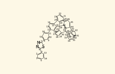 c1ccc(-c2nnc(-c3ccc(-c4ccc5c(c4)C4(c6ccccc6-5)c5ccccc5C5(c6ccccc6)c6ccccc6-c6cccc4c65)cc3)s2)cc1